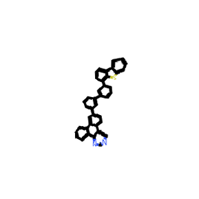 c1cc(-c2cccc(-c3cccc4c3sc3ccccc34)c2)cc(-c2ccc3c(c2)c2ccccc2c2ncncc32)c1